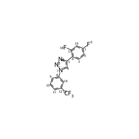 Fc1ccc(-c2cn(-c3cccc(C(F)(F)F)c3)nn2)c(F)c1